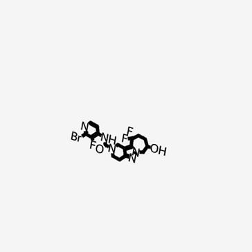 O=C(Nc1ccnc(Br)c1F)N1CCc2nn3c(c2C1)C(F)(F)CCC(O)C3